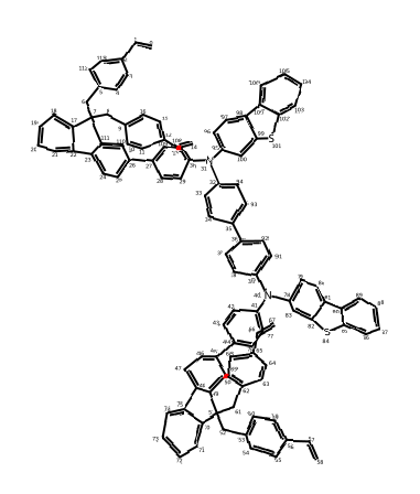 C=Cc1ccc(CC2(Cc3ccc(C=C)cc3)c3ccccc3-c3ccc(-c4ccc(N(c5ccc(-c6ccc(N(c7ccc(-c8ccc9c(c8)C(Cc8ccc(C=C)cc8)(Cc8ccc(C=C)cc8)c8ccccc8-9)cc7)c7ccc8c(c7)sc7ccccc78)cc6)cc5)c5ccc6c(c5)sc5ccccc56)cc4)cc32)cc1